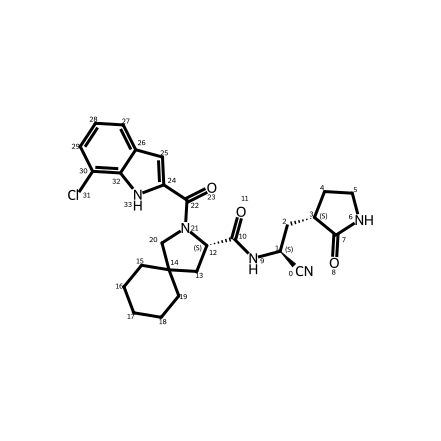 N#C[C@H](C[C@@H]1CCNC1=O)NC(=O)[C@@H]1CC2(CCCCC2)CN1C(=O)c1cc2cccc(Cl)c2[nH]1